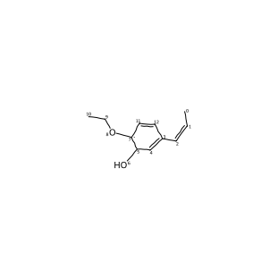 C/C=C\C1=CC(O)[C](OCC)C=C1